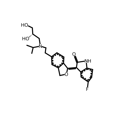 CC(C)N(CCc1ccc2c(c1)CO/C2=C1/C(=O)Nc2ccc(F)cc21)C[C@H](O)CO